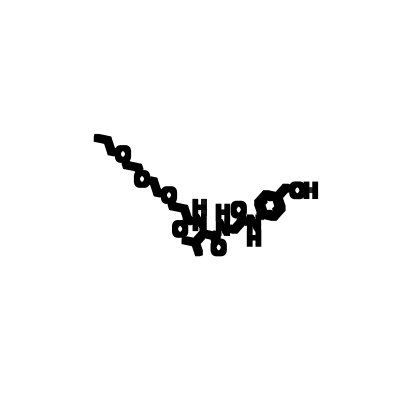 CCCOCCOCCOCCC(=O)N[C@H](C(=O)NCC(=O)Nc1ccc(CO)cc1)C(C)C